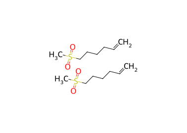 C=CCCCCS(C)(=O)=O.C=CCCCCS(C)(=O)=O